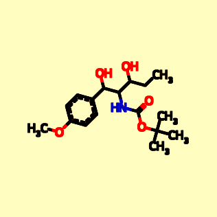 CCC(O)C(NC(=O)OC(C)(C)C)C(O)c1ccc(OC)cc1